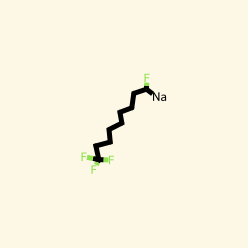 F[CH]([Na])CCCCCCCC(F)(F)F